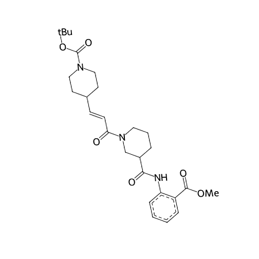 COC(=O)c1ccccc1NC(=O)C1CCCN(C(=O)C=CC2CCN(C(=O)OC(C)(C)C)CC2)C1